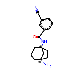 N#Cc1cccc(C(=O)N[C@]23CCC[C@](N)(CC2)C3)c1